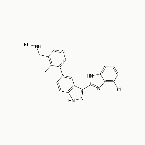 CCNCc1cncc(-c2ccc3[nH]nc(-c4nc5c(Cl)cccc5[nH]4)c3c2)c1C